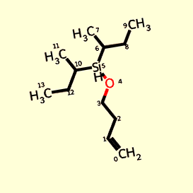 C=CCCO[SiH](C(C)CC)C(C)CC